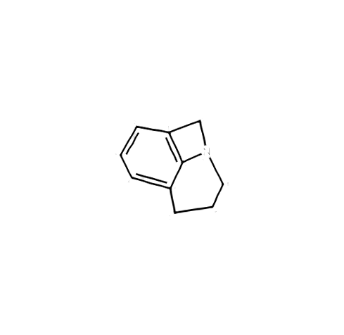 [CH]1c2cccc3c2N1CCC3